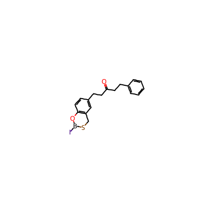 O=C(CCc1ccccc1)CCc1ccc2c(c1)CSB(I)O2